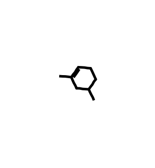 CC1=CCCC(C)C1